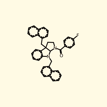 O=C(c1ccc(F)cc1)N1CCC2(Cc3cccc4ccccc34)c3ccccc3N(Cc3cccc4ccccc34)C12